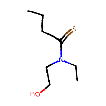 CCCC(=S)N(CC)CCO